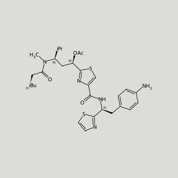 CC[C@H](C)CC(=O)N(C)[C@H](C[C@@H](OC(C)=O)c1nc(C(=O)N[C@@H](Cc2ccc(N)cc2)c2nccs2)cs1)C(C)C